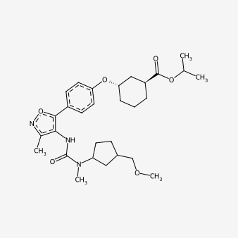 COCC1CCC(N(C)C(=O)Nc2c(C)noc2-c2ccc(O[C@H]3CCC[C@H](C(=O)OC(C)C)C3)cc2)C1